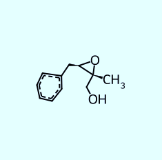 C[C@]1(CO)O[C@@H]1Cc1ccccc1